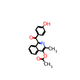 CC(=O)Oc1c(C)nc(C(=O)c2ccc(O)cc2)c2ccccc12